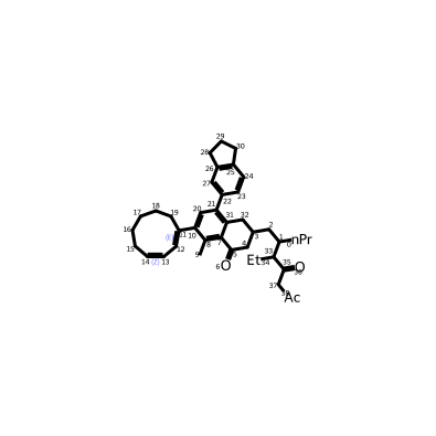 CCCC(CC1CC(=O)c2c(C)c(/C3=C/C=C\CCCCC3)cc(-c3ccc4c(c3)CCC4)c2C1)C(CC)C(=O)CC(C)=O